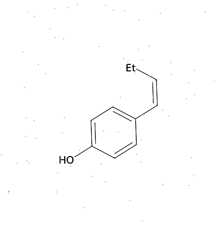 CC/C=C\c1ccc(O)cc1